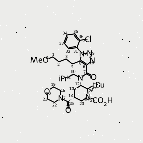 COCCCCc1c(C(=O)N(CC(C)C)[C@H]2C[C@@H](C(=O)N3CCOCC3)CN(C(=O)O)C2C(C)(C)C)nnn1-c1ccccc1Cl